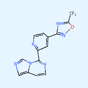 FC(F)(F)c1nc(-c2ccnc(-c3nccc4cncn34)c2)no1